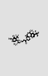 CC1SC[C@H]2CN(C(=O)CCOC[C@H](C)Nc3cn[nH]c(=O)c3C(F)(F)F)CCN2c2ncc(C(F)(F)F)cc21